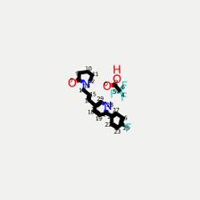 O=C(O)C(F)(F)F.O=C1CCCCN1CC=Cc1ccc(-c2ccc(F)cc2)nc1